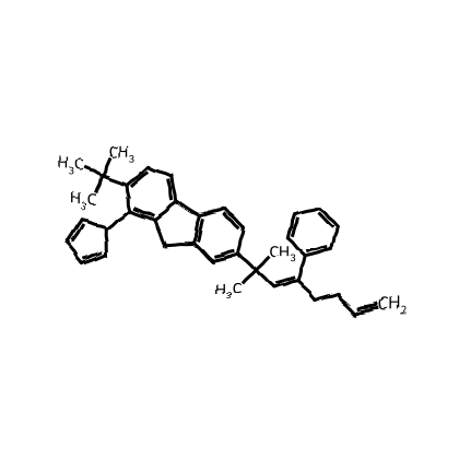 C=CCCC(=CC(C)(C)c1ccc2c(c1)Cc1c-2ccc(C(C)(C)C)c1C1C=CC=C1)c1ccccc1